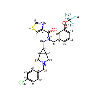 O=C(c1cscn1)N(Cc1cccc(OC(F)(F)F)c1)CC1C2CN(Cc3ccc(Cl)cc3)CC21